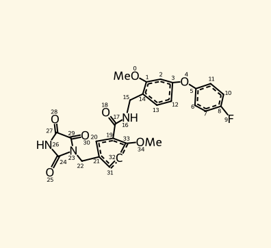 COc1cc(Oc2ccc(F)cc2)ccc1CNC(=O)c1cc(CN2C(=O)NC(=O)C2=O)ccc1OC